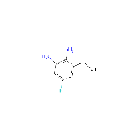 CCc1cc(F)cc(N)c1N